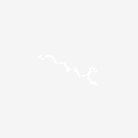 CCCC[O][Zr][CH2]C(C)C